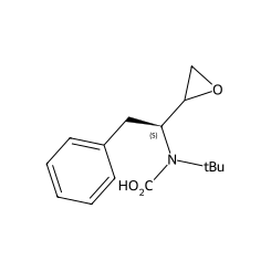 CC(C)(C)N(C(=O)O)[C@@H](Cc1ccccc1)C1CO1